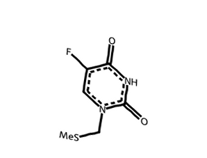 CSCn1cc(F)c(=O)[nH]c1=O